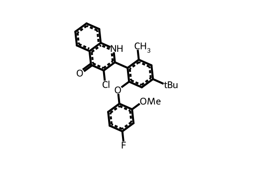 COc1cc(F)ccc1Oc1cc(C(C)(C)C)cc(C)c1-c1[nH]c2ccccc2c(=O)c1Cl